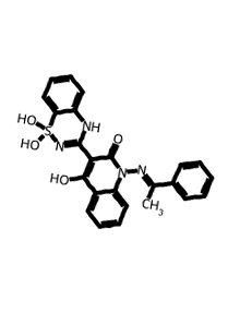 CC(=Nn1c(=O)c(C2=NS(O)(O)c3ccccc3N2)c(O)c2ccccc21)c1ccccc1